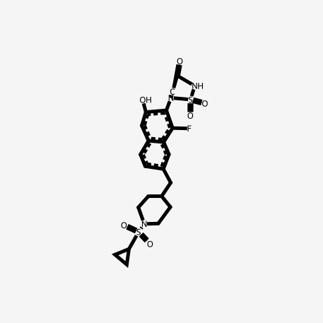 O=C1CN(c2c(O)cc3ccc(CC4CCN(S(=O)(=O)C5CC5)CC4)cc3c2F)S(=O)(=O)N1